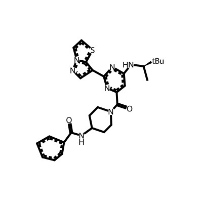 C[C@@H](Nc1cc(C(=O)N2CCC(NC(=O)c3ccccc3)CC2)nc(-c2cnn3ccsc23)n1)C(C)(C)C